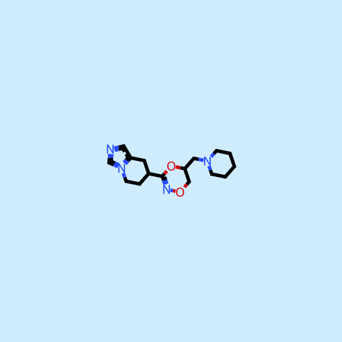 c1ncn2c1CC(C1=NOCC(CN3CCCCC3)O1)CC2